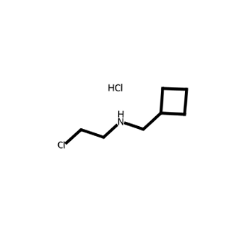 Cl.ClCCNCC1CCC1